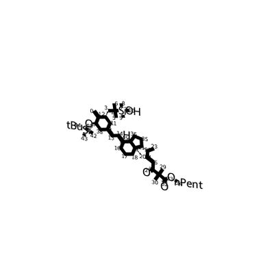 C=C1[C@H](CC(C)(C)[Si](C)(C)O)C/C(=C\C=C2/CCC[C@]3(C)[C@@H](C(C)/C=C/C(=O)C(C)(C)C(=O)OCCCCC)CC[C@@H]23)C[C@H]1O[Si](C)(C)C(C)(C)C